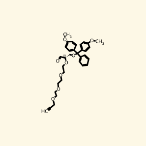 C#CCOCCOCCOCCO[C@H](C=O)COC(c1ccccc1)(c1ccc(OC)cc1)c1ccc(OC)cc1